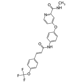 CNC(=O)c1cc(Oc2ccc(NC(=O)C=Cc3ccc(OC(F)(F)F)cc3)cc2)ccn1